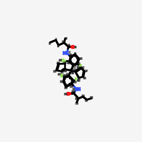 CCCC(C)C(=O)Nc1ccc(F)[c]([Ti]([C]2=CC=CC2)([C]2=CC=CC2)[c]2c(F)ccc(NC(=O)C(C)CCC)c2F)c1F